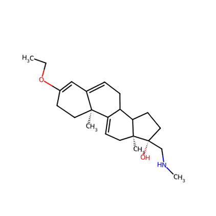 CCOC1=CC2=CCC3C(=CC[C@@]4(C)C3CC[C@@]4(O)CNC)[C@@]2(C)CC1